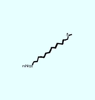 CCCCCCCCCCCCCCCCCCCCC[Si](C)C